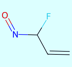 C=CC(F)N=O